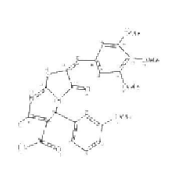 COc1cccc(C2C(C(N)=O)=C(C)N=c3sc(=Cc4cc(OC)c(OC)c(OC)c4)c(=O)n32)c1